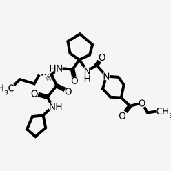 CCCC[C@H](NC(=O)C1(NC(=O)N2CCC(C(=O)OCC)CC2)CCCCC1)C(=O)C(=O)NC1CCCC1